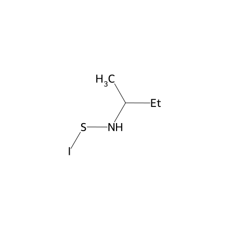 CCC(C)NSI